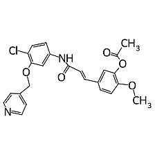 COc1ccc(C=CC(=O)Nc2ccc(Cl)c(OCc3ccncc3)c2)cc1OC(C)=O